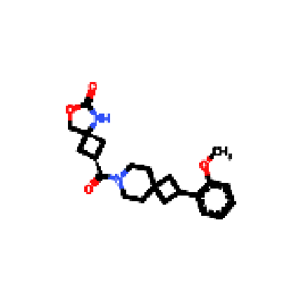 COc1ccccc1C1CC2(CCN(C(=O)[C@H]3C[C@]4(COC(=O)N4)C3)CC2)C1